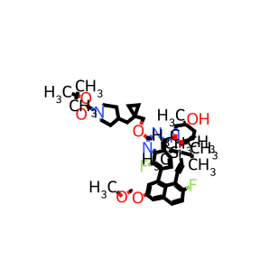 COCOc1cc(-c2ccc3c(N4CCC[C@@](C)(O)C4)nc(OCC4(CC5CCN(C(=O)OC(C)(C)C)CC5)CC4)nc3c2F)c2c(C#C[Si](C(C)C)(C(C)C)C(C)C)c(F)ccc2c1